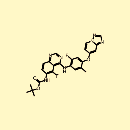 Cc1cc(Nc2ncnc3ccc(NC(=O)OC(C)(C)C)c(F)c23)c(F)cc1Oc1ccn2ncnc2c1